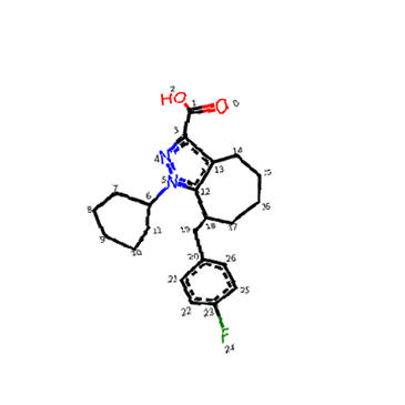 O=C(O)c1nn(C2CCCCC2)c2c1CCCC[C@H]2Cc1ccc(F)cc1